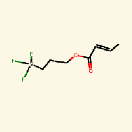 CC=CC(=O)OCCC[Si](F)(F)F